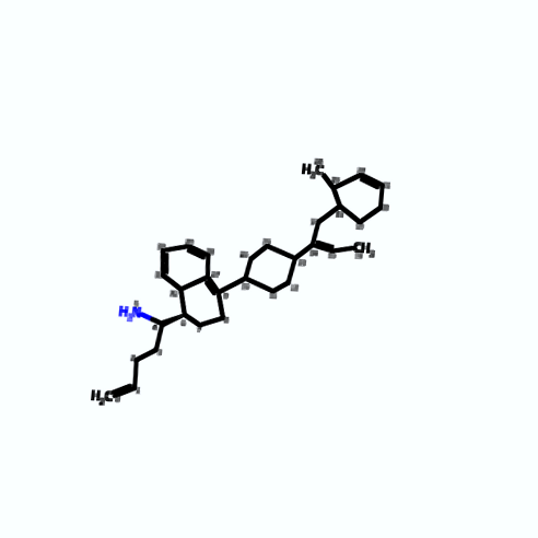 C=CCCC(N)[C@@H]1CCC(C2CCC(/C(=C/C)CC3CCC=CC3C)CC2)=C2C=CC=CC21